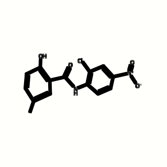 Cc1ccc(O)c(C(=O)Nc2ccc([N+](=O)[O-])cc2Cl)c1